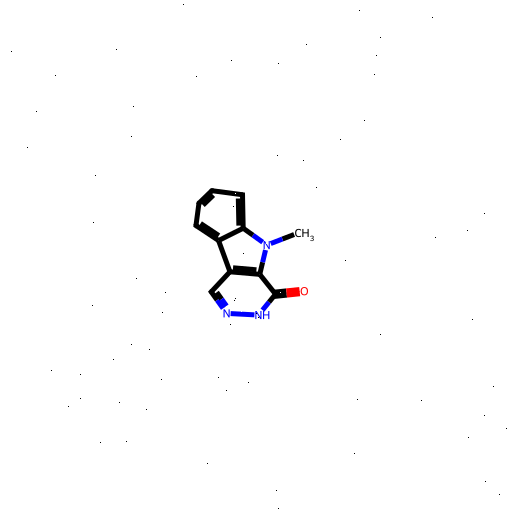 Cn1c2ccccc2c2cn[nH]c(=O)c21